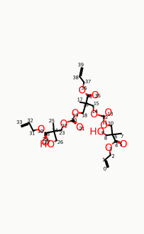 C=CCOC(=O)C(C)(CO)COC(=O)OCC(C)(COC(=O)OCC(C)(CO)C(=O)OCC=C)C(=O)OCC=C